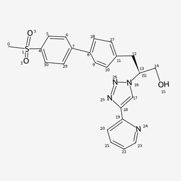 CS(=O)(=O)c1ccc(-c2ccc(C[C@@H](CO)n3cc(-c4ccccn4)nn3)cc2)cc1